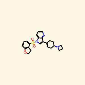 O=S(=O)(c1cccc2c1CCO2)n1cc(C2=CCC(N3CCC3)CC2)c2ncccc21